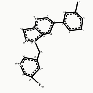 Cc1cccc(-c2cnc3cnn(Cc4cncc(F)c4)c3c2)c1